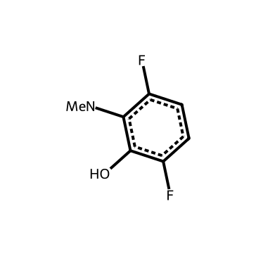 CNc1c(F)ccc(F)c1O